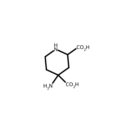 NC1(C(=O)O)CCNC(C(=O)O)C1